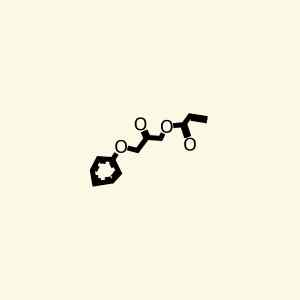 C=CC(=O)OCC(=O)COc1ccccc1